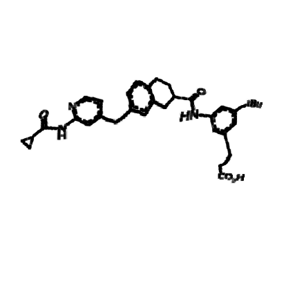 CC(C)(C)c1cc(CCC(=O)O)cc(NC(=O)C2CCc3ccc(Cc4ccnc(NC(=O)C5CC5)c4)cc3C2)c1